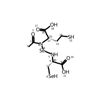 CC(=O)N([Se]N[C@@H](C[SeH])C(=O)O)[C@@H](CCS)C(=O)O